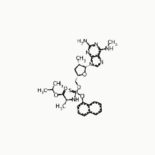 CNc1nc(N)nc2c1ncn2[C@@H]1O[C@H](COP(=S)(N[C@@H](C)C(=O)OC(C)C)Oc2cccc3ccccc23)C[C@@H]1C